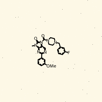 COc1cccc(-c2ncc3c(n2)n(C)c(=O)n3C(=O)N2CCN(Cc3cccc(F)c3)CC2)c1